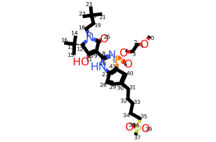 COCCOP1(=O)N=C(C2=C(O)[C@H](C(C)(C)C)N(CCC(C)(C)C)C2=O)Nc2ccc(CCCCCS(C)(=O)=O)cc21